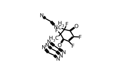 CC1(F)C(=O)C(F)=C(F)C(=O)C1(C)F.N#CC#N.N#CC#N.N#CC#N.N#CC#N